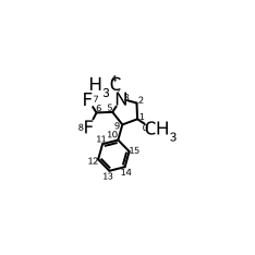 CC1CN(C)C(C(F)F)C1c1ccccc1